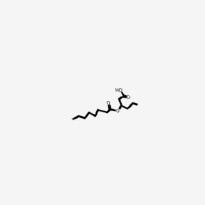 CCCCCCCC(=O)OC(CCC)CC(=O)O